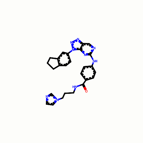 O=C(NCCCn1ccnc1)c1ccc(Nc2ncc3nnn(-c4ccc5c(c4)CCC5)c3n2)cc1